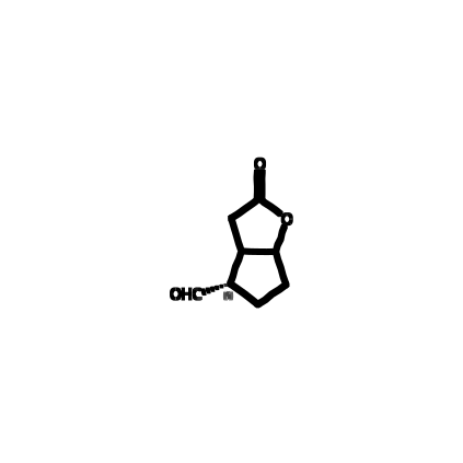 O=C[C@H]1CCC2OC(=O)CC21